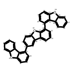 c1ccc2c(c1)oc1cccc(-c3ccc4oc5c(-c6cccc7oc8ccccc8c67)cccc5c4c3)c12